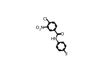 O=C(Nc1ccc(F)cc1)c1ccc(Cl)c([N+](=O)[O-])c1